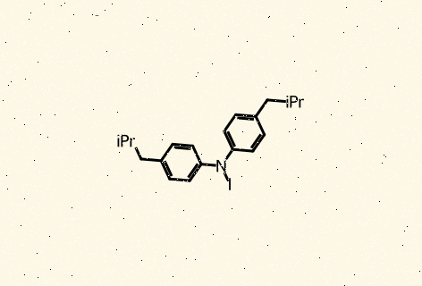 CC(C)Cc1ccc(N(I)c2ccc(CC(C)C)cc2)cc1